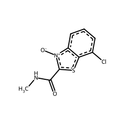 CNC(=O)c1sc2c(Cl)cccc2[n+]1[O-]